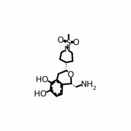 CS(=O)(=O)N1CCC([C@H]2Cc3c(ccc(O)c3O)[C@@H](CN)O2)CC1